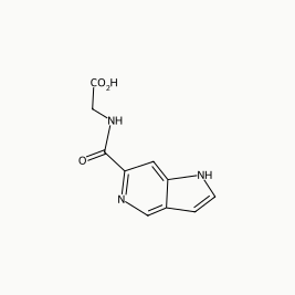 O=C(O)CNC(=O)c1cc2[nH]ccc2cn1